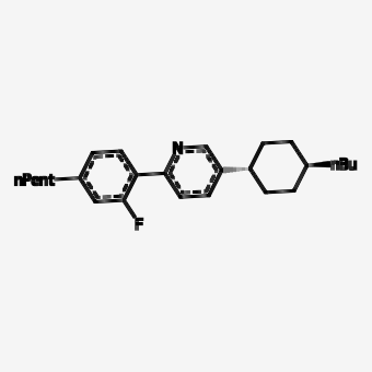 CCCCCc1ccc(-c2ccc([C@H]3CC[C@H](CCCC)CC3)cn2)c(F)c1